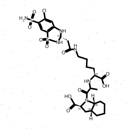 CC(N[C@@H](CCCCNC(=O)C[C@H]1Nc2cc(Cl)c(S(N)(=O)=O)cc2S(=O)(=O)N1)C(=O)O)C(=O)N1[C@@H]2CCCC[C@@H]2C[C@H]1C(=O)O